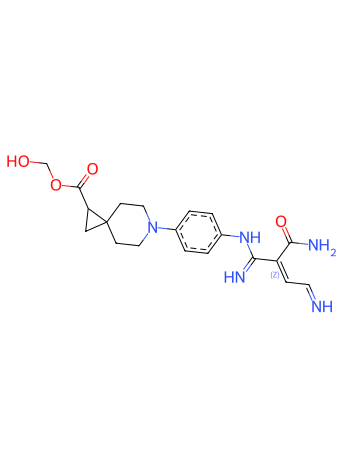 N=C/C=C(/C(=N)Nc1ccc(N2CCC3(CC2)CC3C(=O)OCO)cc1)C(N)=O